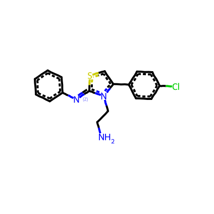 NCCn1c(-c2ccc(Cl)cc2)cs/c1=N\c1ccccc1